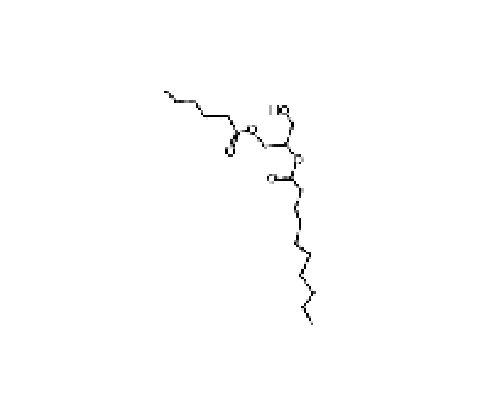 CCCCCCCCCC(=O)OC(CO)COC(=O)CCCCC